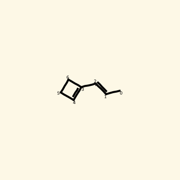 C/C=[C]/C1=CCC1